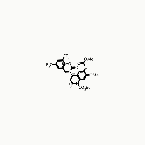 CCOC(=O)N1c2cc(OC)c(OC(=O)OC)cc2[C@@H](N(Cc2cc(C(F)(F)F)cc(C(F)(F)F)c2)C(=O)OC)C[C@H]1C